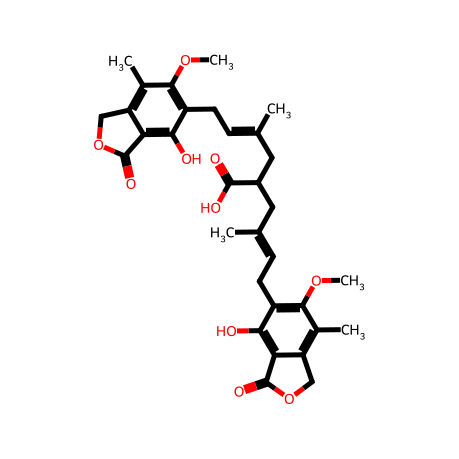 COc1c(C)c2c(c(O)c1C/C=C(\C)CC(C/C(C)=C/Cc1c(O)c3c(c(C)c1OC)COC3=O)C(=O)O)C(=O)OC2